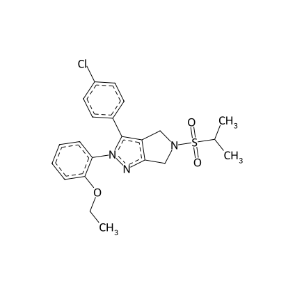 CCOc1ccccc1-n1nc2c(c1-c1ccc(Cl)cc1)CN(S(=O)(=O)C(C)C)C2